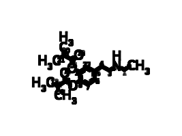 CCNCCc1ccc(OC(=O)C(C)C)c(OC(=O)C(C)C)c1